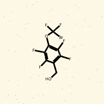 OCc1c(F)c(F)c(OC(F)(F)Br)c(F)c1F